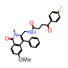 COc1ccc2c(=O)n(C)c(CNC(=O)CCC(=O)c3ccc(F)cc3)c(-c3ccccc3)c2c1